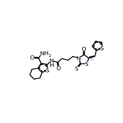 NC(=O)c1c(NC(=O)CCCN2C(=O)/C(=C\c3cccs3)SC2=S)sc2c1CCCC2